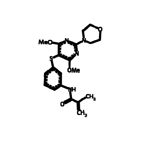 C=C(C)C(=O)Nc1cccc(Sc2c(OC)nc(N3CCOCC3)nc2OC)c1